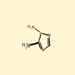 Nc1ncnn1[N+](=O)[O-]